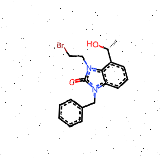 C[C@@H](O)c1cccc2c1n(CCBr)c(=O)n2Cc1ccccc1